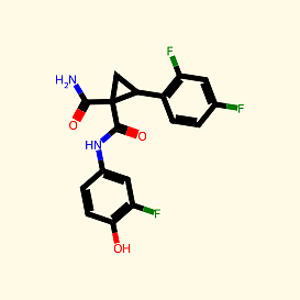 NC(=O)C1(C(=O)Nc2ccc(O)c(F)c2)CC1c1ccc(F)cc1F